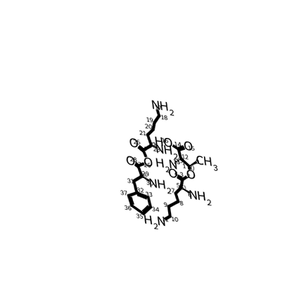 C[C@@H](OC(=O)[C@@H](N)CCCCN)[C@H](N)C(=O)O.NCCCC[C@H](N)C(=O)OC(=O)[C@@H](N)Cc1ccccc1